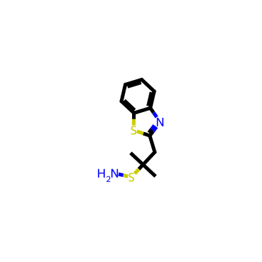 CC(C)(Cc1nc2ccccc2s1)SN